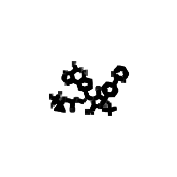 CC(C)(C)C[C@]1(c2ccc(-c3ncccn3)cc2)NC(=N)N([C@H](COC(=O)NC2(C(F)(F)F)CC2)c2ccc(Cl)c(C3=NC=NC3C(F)F)c2)C1=O